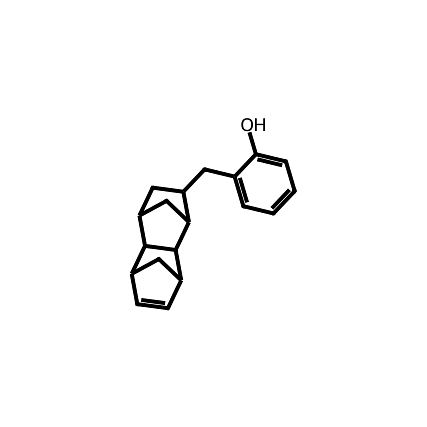 Oc1ccccc1CC1CC2CC1C1C3C=CC(C3)C21